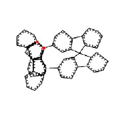 c1ccc2c(c1)-c1ccc(-n3c4ccccc4c4ccccc43)cc1C21c2ccccc2-c2ccc(-n3c4ccccc4c4ccccc43)cc21